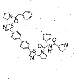 O=C(N[C@@H](C(=O)N1CCCC1c1ncc(-c2ccc(-c3ccc(-c4cnc([C@@H]5CCCN5C(=O)Cc5ccccc5)s4)cc3)cc2)s1)c1ccccc1)c1cccnc1